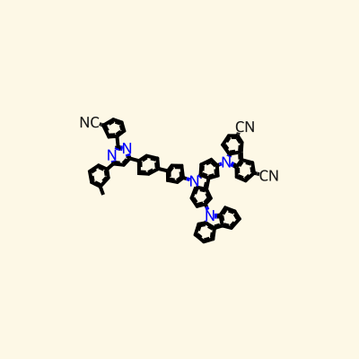 Cc1cccc(-c2cc(-c3ccc(-c4ccc(-n5c6ccc(-n7c8ccccc8c8ccccc87)cc6c6cc(-n7c8ccc(C#N)cc8c8cc(C#N)ccc87)ccc65)cc4)cc3)nc(-c3cccc(C#N)c3)n2)c1